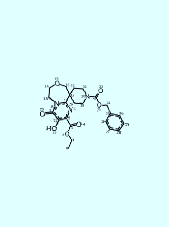 CCOC(=O)c1nc2n(c(=O)c1O)CCOCC21CCN(C(=O)OCc2ccccc2)CC1